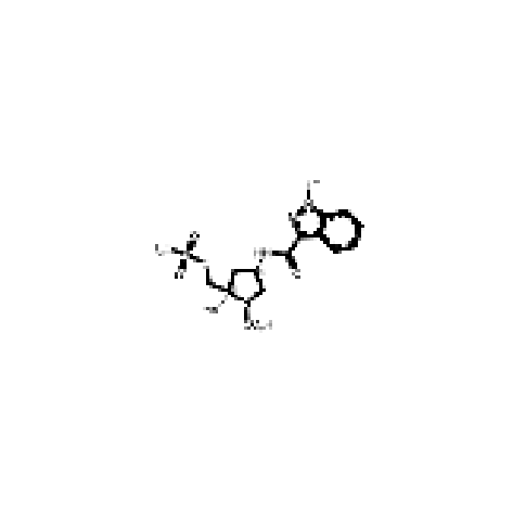 CC(C)n1nc(C(=O)N[C@@H]2CN(C(=O)O)[C@](COS(C)(=O)=O)(C(C)(C)C)C2)c2ccccc21